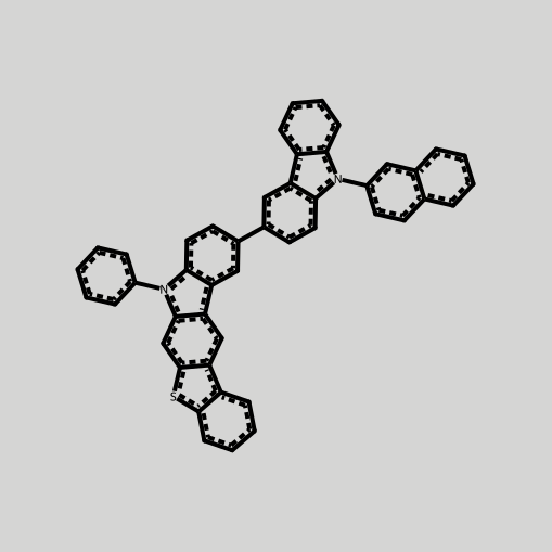 c1ccc(-n2c3ccc(-c4ccc5c(c4)c4ccccc4n5-c4ccc5ccccc5c4)cc3c3cc4c(cc32)sc2ccccc24)cc1